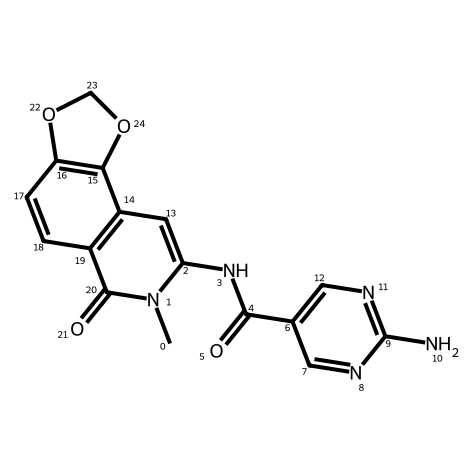 Cn1c(NC(=O)c2cnc(N)nc2)cc2c3c(ccc2c1=O)OCO3